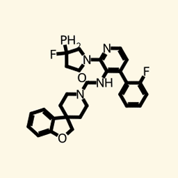 O=C(Nc1c(-c2ccccc2F)ccnc1N1CCC(F)(P)C1)N1CCC2(CC1)COc1ccccc12